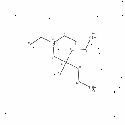 CCN(CC)CC(C)(CCO)CCO